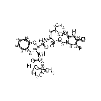 CC(C)C[C@H](NC(=O)[C@@H](O)[C@@H](Cc1ccccc1)NC(=O)OC(C)(C)C)C(=O)OCn1cc(F)c(=O)[nH]c1=O